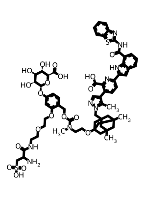 Cc1c(-c2ccc(-c3cc4cccc(C(=O)Nc5nc6ccccc6s5)c4[nH]3)nc2C(=O)O)cnn1CC12CC3(C)CC(C)(C1)CC(OCCN(C)C(=O)OCc1ccc(O[C@@H]4O[C@H](C(=O)O)[C@@H](O)[C@H](O)[C@H]4O)cc1OCCOCCNC(=O)C(N)CS(=O)(=O)O)(C3)C2